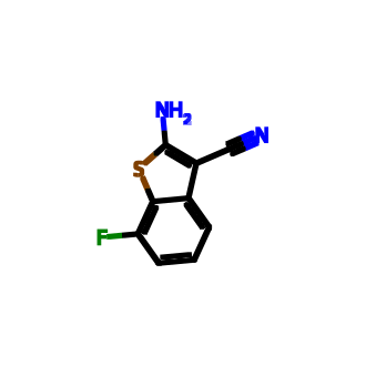 N#Cc1c(N)sc2c(F)cccc12